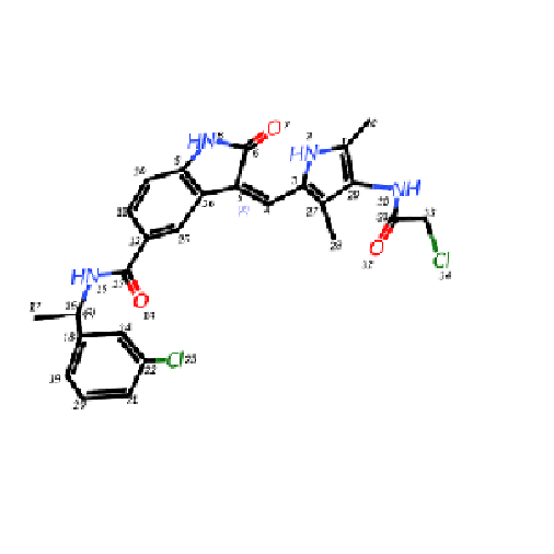 Cc1[nH]c(/C=C2\C(=O)Nc3ccc(C(=O)N[C@H](C)c4cccc(Cl)c4)cc32)c(C)c1NC(=O)CCl